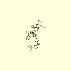 CC(C)Oc1ncc(-c2nc(-c3ccc(N[C@H]4CC[C@@H](C(=O)O)C4)cc3)no2)cc1Cl.NC(=O)c1cccnc1